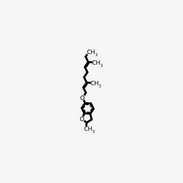 CC/C(C)=C/CC/C(C)=C/COc1ccc2c(c1)OC(C)C2